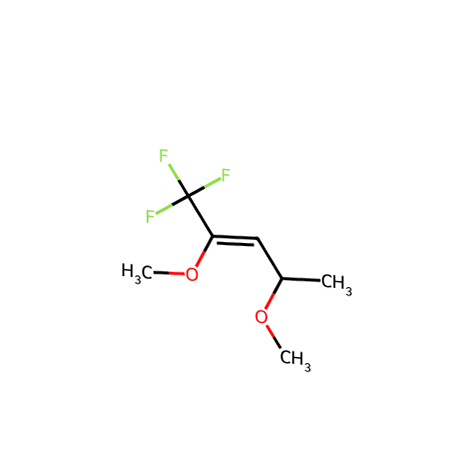 CO/C(=C\C(C)OC)C(F)(F)F